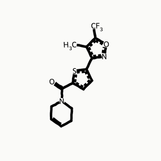 Cc1c(-c2ccc(C(=O)N3CC=CCC3)s2)noc1C(F)(F)F